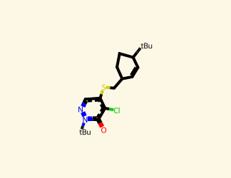 CC(C)(C)C1C=CC(CSc2cnn(C(C)(C)C)c(=O)c2Cl)CC1